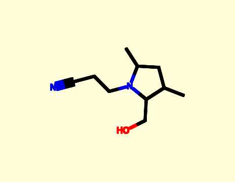 CC1CC(C)N(CCC#N)C1CO